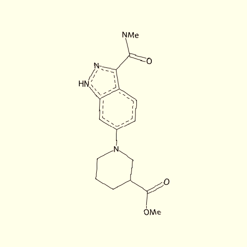 CNC(=O)c1n[nH]c2cc(N3CCCC(C(=O)OC)C3)ccc12